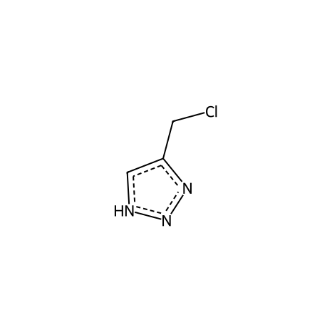 ClCc1c[nH]nn1